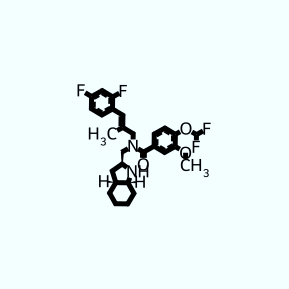 COc1cc(C(=O)N(C/C(C)=C/c2ccc(F)cc2F)C[C@@H]2C[C@@H]3CCCC[C@@H]3N2)ccc1OC(F)F